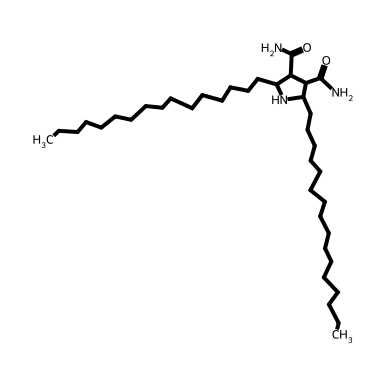 CCCCCCCCCCCCCCCCC1NC(CCCCCCCCCCCCCCCC)C(C(N)=O)C1C(N)=O